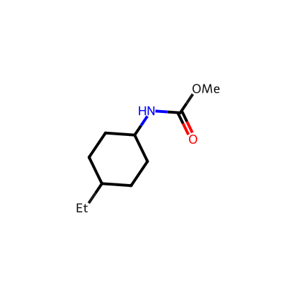 CCC1CCC(NC(=O)OC)CC1